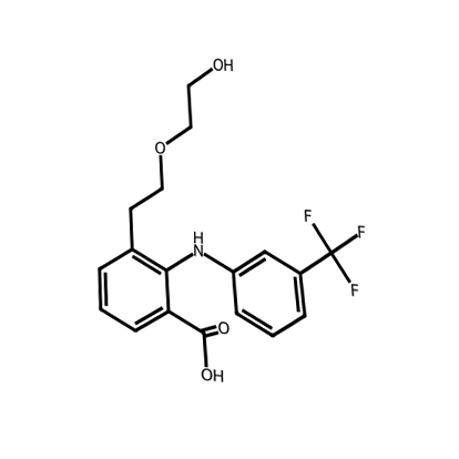 O=C(O)c1cccc(CCOCCO)c1Nc1cccc(C(F)(F)F)c1